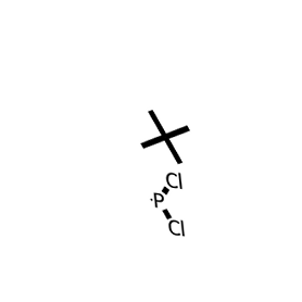 CC(C)(C)C.Cl[P]Cl